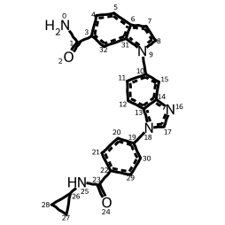 NC(=O)c1ccc2ccn(-c3ccc4c(c3)ncn4-c3ccc(C(=O)NC4CC4)cc3)c2c1